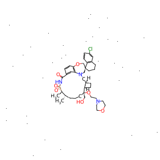 C[C@@H]1[C@@H](C)CCC[C@@](CO)(OCCN2CCOCC2)[C@@H]2CC[C@H]2CN2C[C@@]3(CCCc4cc(Cl)ccc43)COc3ccc(cc32)C(=O)NS1(=O)=O